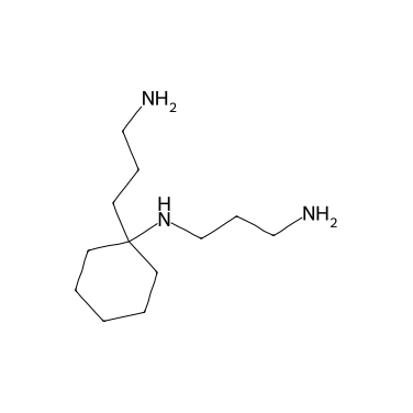 NCCCNC1(CCCN)CCCCC1